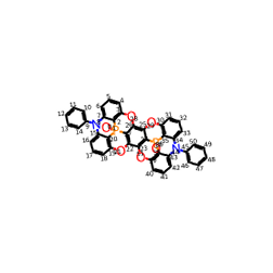 O=P12c3c4cccc3N(c3ccccc3)c3cccc(c31)Oc1c3c5c(c(c12)O4)Oc1cccc2c1P5(=O)c1c(cccc1N2c1ccccc1)O3